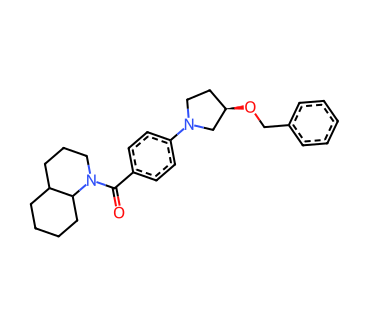 O=C(c1ccc(N2CC[C@@H](OCc3ccccc3)C2)cc1)N1CCCC2CCCCC21